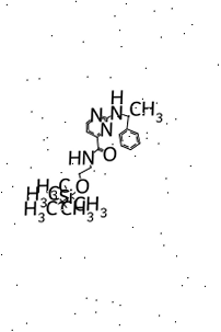 C[C@H](Nc1nccc(C(=O)NCCO[Si](C)(C)C(C)(C)C)n1)c1ccccc1